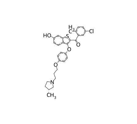 Cc1ccc(Cl)cc1C(=O)c1sc2cc(O)ccc2c1Oc1ccc(OCCCN2CC[C@@H](C)C2)cc1